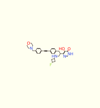 O=c1[nH]cnc(C(CNC2CC(F)C2)Cc2ccc(C#Cc3ccc(CN4CCOCC4)cc3)cc2)c1O